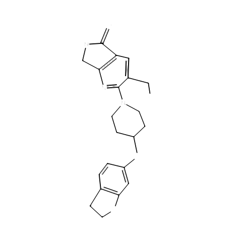 CCc1cc2c(nc1N1CCC(Oc3ccc4c(c3)OCC4)CC1)CNC2=O